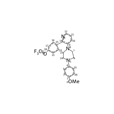 COc1ccc(N2CCN(c3cccnc3-c3ccc(OC(F)(F)F)cc3)CC2)cc1